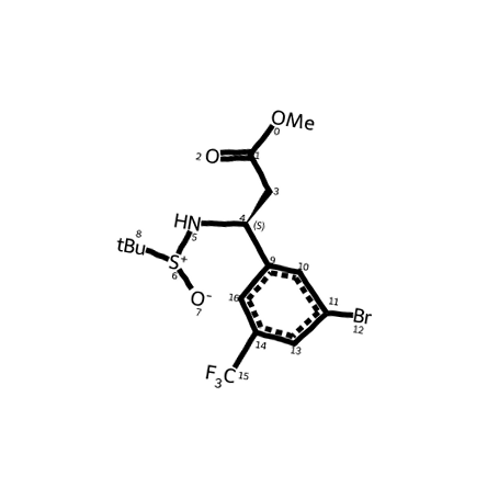 COC(=O)C[C@H](N[S+]([O-])C(C)(C)C)c1cc(Br)cc(C(F)(F)F)c1